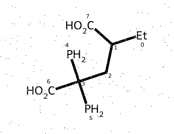 CCC(CC(P)(P)C(=O)O)C(=O)O